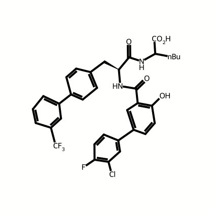 CCCCC(NC(=O)[C@H](Cc1ccc(-c2cccc(C(F)(F)F)c2)cc1)NC(=O)c1cc(-c2ccc(F)c(Cl)c2)ccc1O)C(=O)O